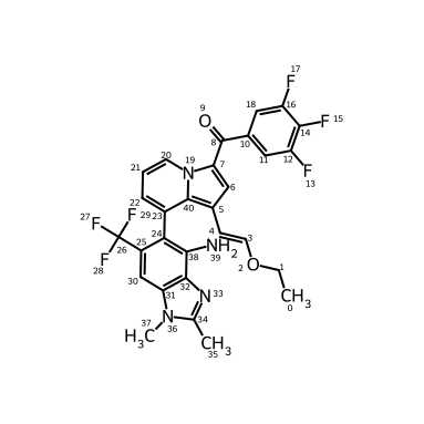 CCO/C=C/c1cc(C(=O)c2cc(F)c(F)c(F)c2)n2cccc(-c3c(C(F)(F)F)cc4c(nc(C)n4C)c3N)c12